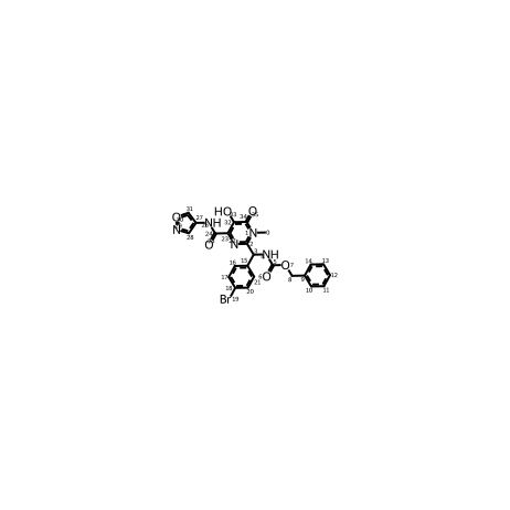 Cn1c(C(NC(=O)OCc2ccccc2)c2ccc(Br)cc2)nc(C(=O)Nc2cnoc2)c(O)c1=O